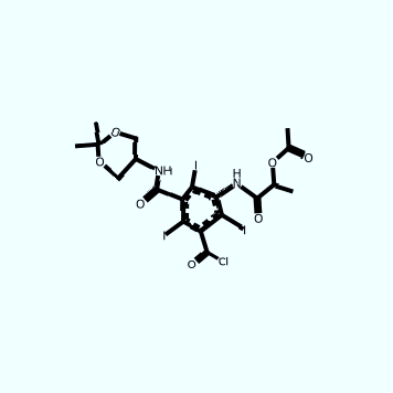 CC(=O)OC(C)C(=O)Nc1c(I)c(C(=O)Cl)c(I)c(C(=O)NC2COC(C)(C)OC2)c1I